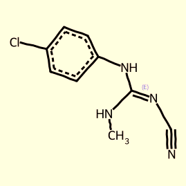 CN/C(=N\C#N)Nc1ccc(Cl)cc1